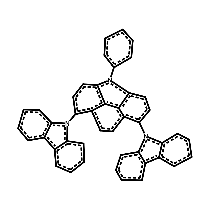 c1ccc(-n2c3ccc(-n4c5ccccc5c5ccccc54)c4ccc5c(-n6c7ccccc7c7ccccc76)ccc2c5c43)cc1